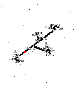 CC(=O)NC1[C@H](OCCCCCCCC(=O)NCCCN(CCCCN(CCCNC(=O)CCCCCCCO[C@@H]2OC(CO)[C@H](O)[C@H](O)C2NC(C)=O)C(=O)C(O)COP(C)(C)=O)C(=O)CCCCCCCO[C@@H]2OC(CO)[C@H](O)[C@H](O)C2NC(C)=O)OC(CO)[C@H](O)[C@@H]1O